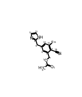 CC(=O)OCc1cc(Cc2ncc[nH]2)cc(F)c1C#N